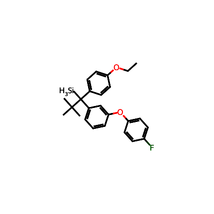 CCOc1ccc(C([SiH3])(c2cccc(Oc3ccc(F)cc3)c2)C(C)(C)C)cc1